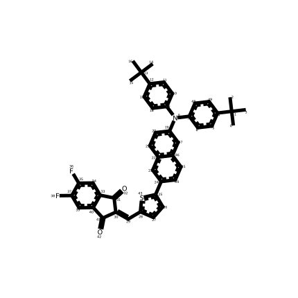 CC(C)(C)c1ccc(N(c2ccc(C(C)(C)C)cc2)c2ccc3cc(-c4ccc(C=C5C(=O)c6cc(F)c(F)cc6C5=O)s4)ccc3c2)cc1